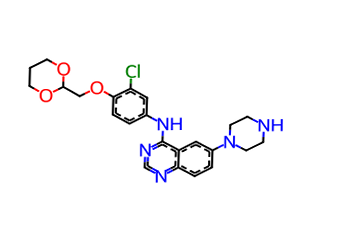 Clc1cc(Nc2ncnc3ccc(N4CCNCC4)cc23)ccc1OCC1OCCCO1